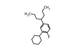 CCCC(CCC)c1ccc(F)c(C2CCCCC2)c1